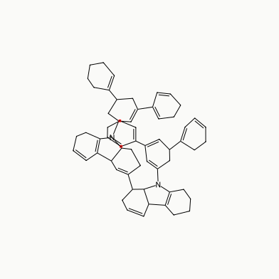 C1=CCCC(C2C=C(C3=CCCC=C3)C=C(N3C4=C(CCCC4)C4C=CCC(C5=CC6C7=C(CCC=C7)N(C7C=C(C8=CCCC=C8)CC(C8=CCCCC8)C7)C6CC5)C43)C2)=C1